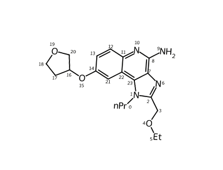 CCCn1c(COCC)nc2c(N)nc3ccc(OC4CCOC4)cc3c21